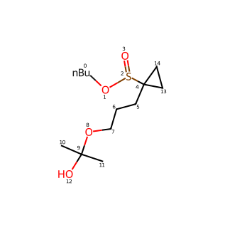 CCCCOS(=O)C1(CCCOC(C)(C)O)CC1